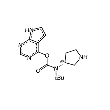 CC(C)(C)N(C(=O)Oc1ncnc2[nH]ccc12)[C@@H]1CCNC1